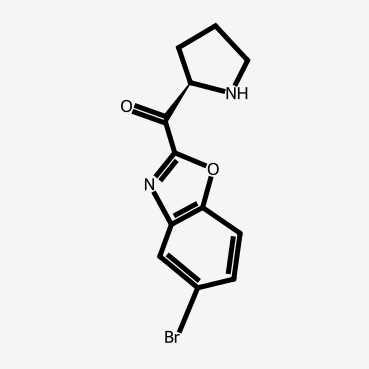 O=C(c1nc2cc(Br)ccc2o1)[C@H]1CCCN1